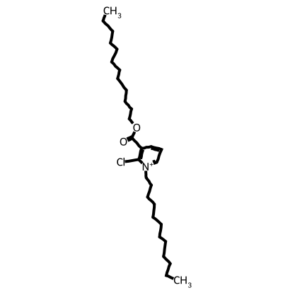 CCCCCCCCCCCCOC(=O)c1ccc[n+](CCCCCCCCCCCC)c1Cl